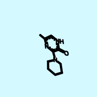 Cc1c[nH]c(=O)c(N2CCCCC2)n1